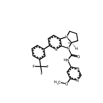 COc1cc(NC(=O)N2c3nc(-c4cccc(C(F)(F)F)c4)ccc3N3CCC[C@H]32)ncn1